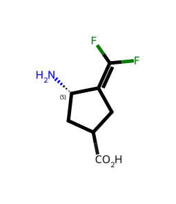 N[C@H]1CC(C(=O)O)CC1=C(F)F